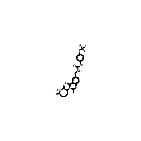 Cc1nc2ccc(CNC(=O)Nc3ccc(SC(F)(F)F)cc3)cc2c(=O)n1C1CCCC(=O)NC1=O